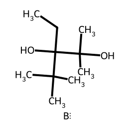 CCC(O)(C(C)(C)C)C(C)(C)O.[B]